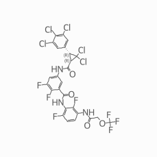 O=C(COC(F)(F)F)Nc1ccc(F)c(NC(=O)c2cc(NC(=O)[C@H]3[C@H](c4cc(Cl)c(Cl)c(Cl)c4)C3(Cl)Cl)cc(F)c2F)c1F